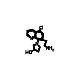 NCCc1cc(Cl)c2cccnc2c1N1CC[C@@H](O)C1